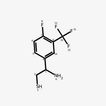 NC(CS)c1ccc(F)c(C(F)(F)F)c1